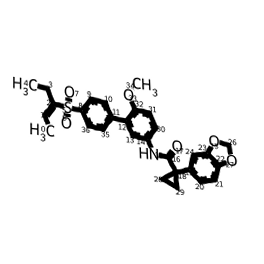 C/C=C(/CC)S(=O)(=O)c1ccc(-c2cc(NC(=O)C3(c4ccc5c(c4)OCO5)CC3)ccc2OC)cc1